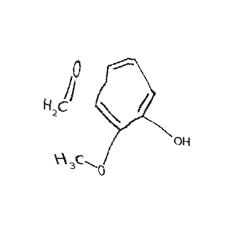 C=O.COc1ccccc1O